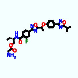 CC[C@@H](COC(=O)CN)NC(=O)c1ccc(-c2noc(C(C)Oc3ccc(-c4noc(C(C)C)n4)cc3)n2)cc1F